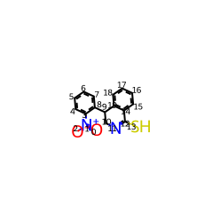 O=[N+]([O-])c1ccccc1C1CN=C(S)c2ccccc21